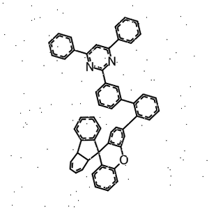 C1=CC2c3ccccc3C3(c4ccccc4Oc4cc(-c5ccccc5-c5cccc(-c6nc(-c7ccccc7)cc(-c7ccccc7)n6)c5)ccc43)C2C=C1